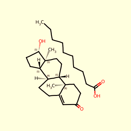 CCCCCCCCCC(=O)O.C[C@]12CC[C@H]3[C@@H](CCC4=CC(=O)CC[C@@]43C)[C@@H]1CC[C@@H]2O